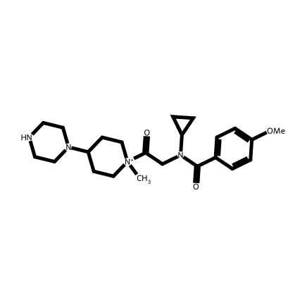 COc1ccc(C(=O)N(CC(=O)[N+]2(C)CCC(N3CCNCC3)CC2)C2CC2)cc1